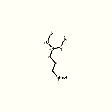 CCCCCCCCCCN(OC(C)C)OC(C)C